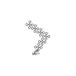 O=S(=O)([O-])[O-].O=S(=O)([O-])[O-].O=S(=O)([O-])[O-].O=S(=O)([O-])[O-].O=S(=O)([O-])[O-].O=S(=O)([O-])[O-].[Mn+2].[V+5].[V+5]